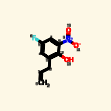 C=CCc1cc(F)cc([N+](=O)[O-])c1O